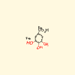 O=C(O)c1cc(O)c(O)c(O)c1.[Fe].[Fe]